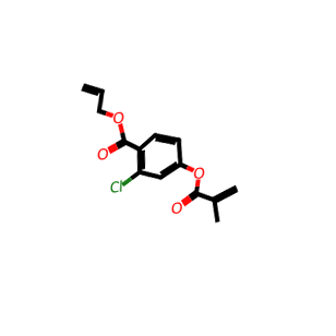 C=CCOC(=O)c1ccc(OC(=O)C(=C)C)cc1Cl